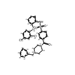 O=C(c1ccc(S(=O)(=O)Nc2ccccc2Oc2ccc(Cl)cc2Cl)cc1)N1CCN(Cc2ccccn2)CC1